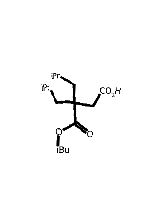 CCC(C)OC(=O)C(CC(=O)O)(CC(C)C)CC(C)C